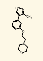 Cc1n[nH]cc1-c1c[c]cc(OCCN2CCOCC2)c1